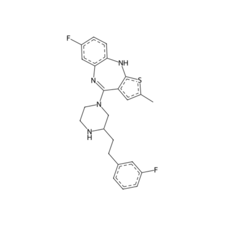 Cc1cc2c(s1)Nc1ccc(F)cc1N=C2N1CCNC(CCc2cccc(F)c2)C1